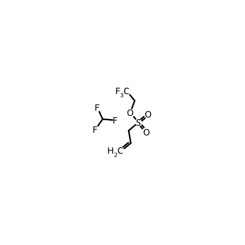 C=CCS(=O)(=O)OCC(F)(F)F.FC(F)F